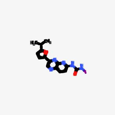 CC(C)c1ccc(-c2cnc3ccc(NC(=O)NI)nc3n2)o1